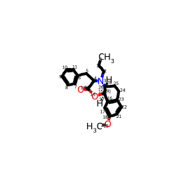 CCCN1C(Cc2ccccc2)C(=O)O[C@@H]2c3cc(OC)ccc3CC[C@H]21